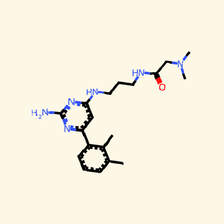 Cc1cccc(-c2cc(NCCCNC(=O)CN(C)C)nc(N)n2)c1C